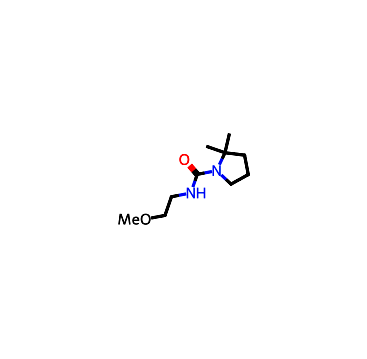 COCCNC(=O)N1CCCC1(C)C